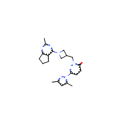 Cc1cc(C)n(-c2ccc(=O)n(CC3CN(c4nc(C)nc5c4CCC5)C3)n2)n1